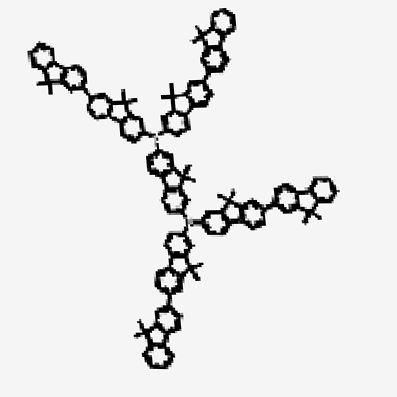 CC1(C)c2ccccc2-c2ccc(-c3ccc4c(c3)C(C)(C)c3cc(N(c5ccc6c(c5)C(C)(C)c5cc(-c7ccc8c(c7)C(C)(C)c7ccccc7-8)ccc5-6)c5ccc6c(c5)C(C)(C)c5cc(N(c7ccc8c(c7)C(C)(C)c7cc(-c9ccc%10c(c9)C(C)(C)c9ccccc9-%10)ccc7-8)c7ccc8c(c7)C(C)(C)c7cc(-c9ccc%10c(c9)C(C)(C)c9ccccc9-%10)ccc7-8)ccc5-6)ccc3-4)cc21